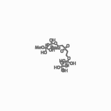 CO[PH](O)(O)O[PH](O)(OC)OCCS(=O)(=O)CCO[PH](O)(O)O[PH](O)(O)O